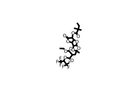 CCOC(=O)C(CC1(C)OC2OC3C(OC(=O)C(C)(C)CC)C(=O)OC3C2O1)C(=O)OC(C(F)(F)F)C(F)(F)F